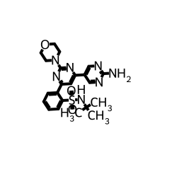 CC(C)(C)NS(=O)(=O)c1ccccc1-c1cc(-c2cnc(N)nc2)nc(N2CCOCC2)n1